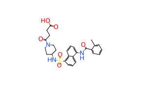 Cc1ccccc1C(=O)Nc1cccc2c(S(=O)(=O)NC3CCN(C(=O)CCC(=O)O)CC3)cccc12